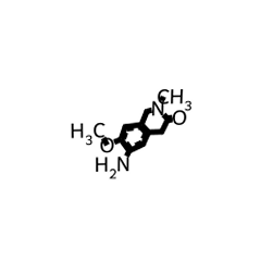 COc1cc2c(cc1N)CC(=O)N(C)C2